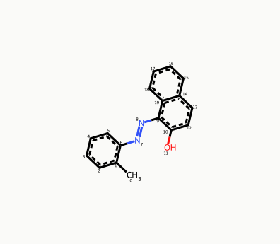 Cc1ccccc1N=Nc1c(O)ccc2ccccc12